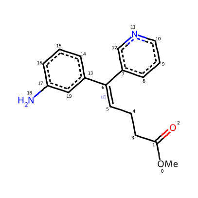 COC(=O)CC/C=C(\c1cccnc1)c1cccc(N)c1